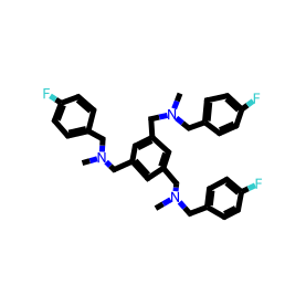 CN(Cc1ccc(F)cc1)Cc1cc(CN(C)Cc2ccc(F)cc2)cc(CN(C)Cc2ccc(F)cc2)c1